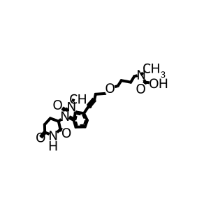 CN(CCCCOCCC#Cc1cccc2c1n(C)c(=O)n2C1CCC(=O)NC1=O)C(=O)O